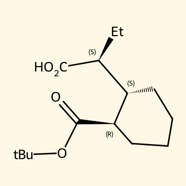 CC[C@H](C(=O)O)[C@@H]1CCCC[C@H]1C(=O)OC(C)(C)C